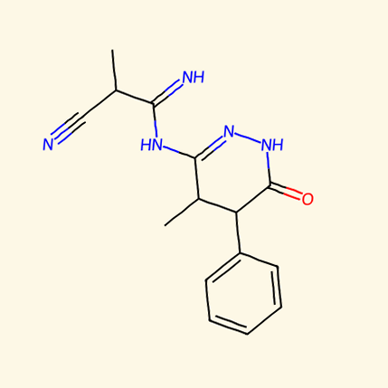 CC(C#N)C(=N)NC1=NNC(=O)C(c2ccccc2)C1C